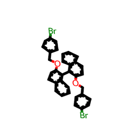 Brc1ccc(COc2ccc3ccccc3c2-c2c(OCc3ccc(Br)cc3)ccc3ccccc23)cc1